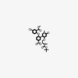 COC(=O)c1cc(Cl)ccc1Oc1ccc([N+](=O)[O-])cc1-c1cn(C)c(=O)cc1OCCNC(=O)OC(C)(C)C